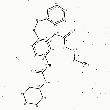 CCOCC(=O)N1c2ccccc2CCc2ccc(NC(=O)OC3CCCCC3)cc21